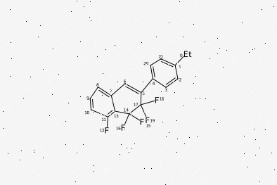 CCc1ccc(C2=Cc3cccc(F)c3C(F)(F)C2(F)F)cc1